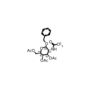 CC(=O)OC[C@H]1O[C@@H](OCc2ccccc2)[C@H](NC(=O)C(F)(F)F)[C@@H](OC(C)=O)[C@H]1OC(C)=O